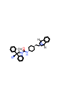 C[C@H](NC(=O)N[C@H]1CC[C@H](CCN2[C@@H]3CC[C@H]2c2ccccc23)CC1)C(C#N)(c1ccccc1)c1ccccc1